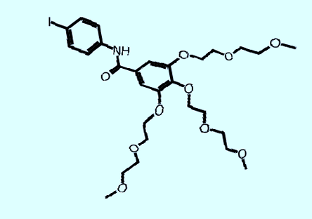 COCCOCCOc1cc(C(=O)Nc2ccc(I)cc2)cc(OCCOCCOC)c1OCCOCCOC